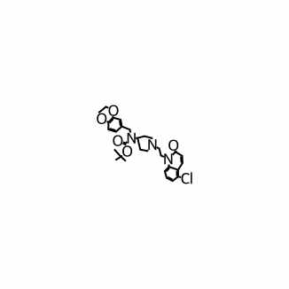 CC(C)(C)OC(=O)N(Cc1ccc2c(c1)OCCO2)C1CCN(CCn2c(=O)ccc3c(Cl)cccc32)CC1